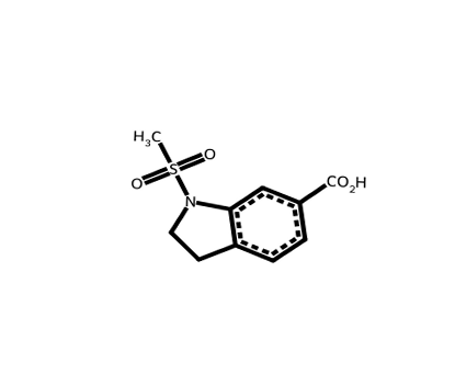 CS(=O)(=O)N1CCc2ccc(C(=O)O)cc21